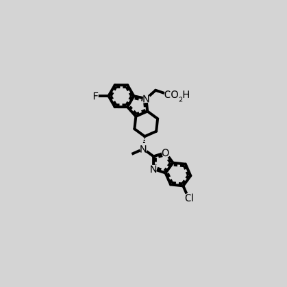 CN(c1nc2cc(Cl)ccc2o1)[C@H]1CCc2c(c3cc(F)ccc3n2CC(=O)O)C1